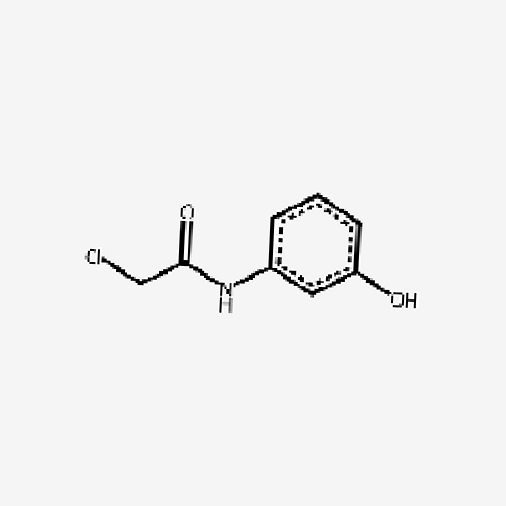 O=C(CCl)Nc1cccc(O)c1